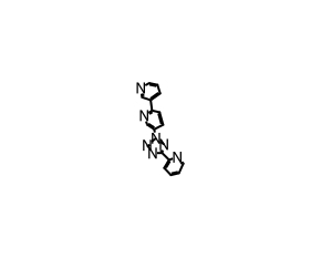 c1ccc(-c2nnn(-c3ccc(-c4cccnc4)nc3)n2)nc1